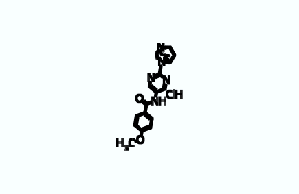 COc1ccc(C(=O)Nc2cnc(N3CCN4CCC3CC4)nc2)cc1.Cl